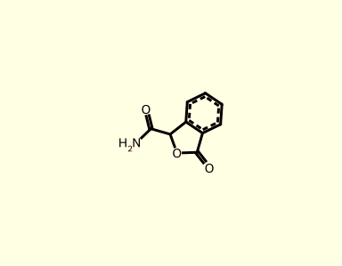 NC(=O)C1OC(=O)c2ccccc21